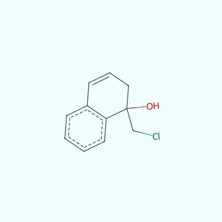 OC1(CCl)CC=Cc2ccccc21